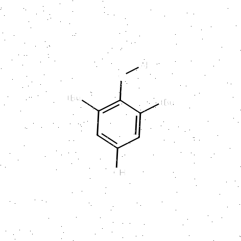 Cc1cc(C(C)(C)C)c([O][Al])c(C(C)(C)C)c1